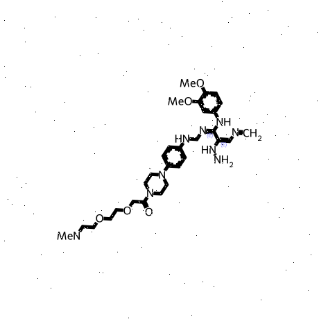 C=N/C=C(NN)\C(=N/CNc1ccc(N2CCN(C(=O)COCCOCCNC)CC2)cc1)Nc1ccc(OC)c(OC)c1